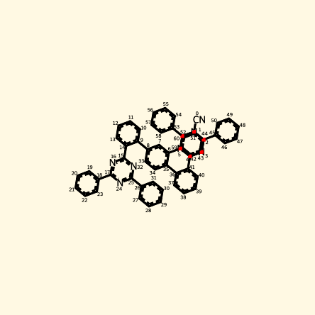 N#Cc1cccc(-c2cc(-c3ccccc3-c3nc(-c4ccccc4)nc(-c4ccccc4)n3)ccc2-c2ccccc2-c2nc(-c3ccccc3)nc(-c3ccccc3)n2)c1